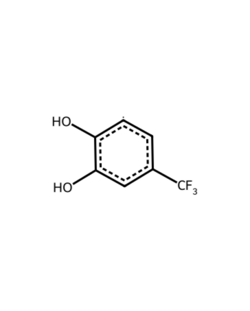 Oc1[c]cc(C(F)(F)F)cc1O